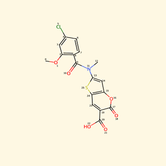 COc1cc(Cl)ccc1C(=O)N(C)c1cc2oc(=O)c(C(=O)O)cc2s1